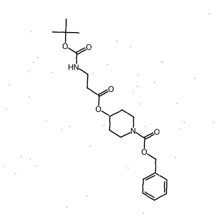 CC(C)(C)OC(=O)NCCC(=O)OC1CCN(C(=O)OCc2ccccc2)CC1